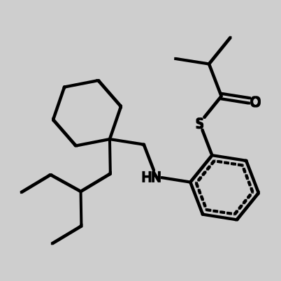 CCC(CC)CC1(CNc2ccccc2SC(=O)C(C)C)CCCCC1